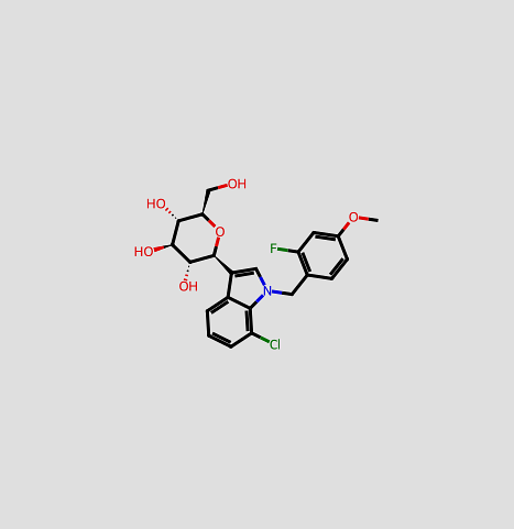 COc1ccc(Cn2cc([C@@H]3O[C@H](CO)[C@@H](O)[C@H](O)[C@H]3O)c3cccc(Cl)c32)c(F)c1